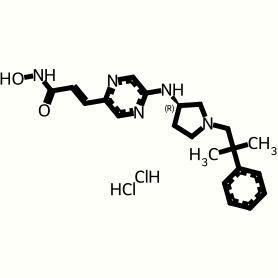 CC(C)(CN1CC[C@@H](Nc2cnc(C=CC(=O)NO)cn2)C1)c1ccccc1.Cl.Cl